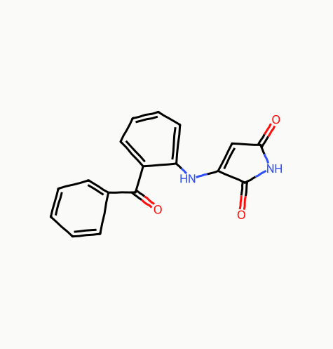 O=C1C=C(Nc2ccccc2C(=O)c2ccccc2)C(=O)N1